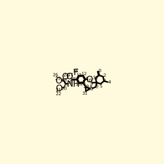 C=C1CC(C)CC(CC)(COc2cc(F)c(C(=O)N[C@@H](COC)C(=O)OC)cc2C2CC2)C1